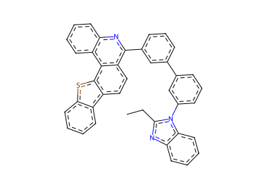 CCc1nc2ccccc2n1-c1cccc(-c2cccc(-c3nc4ccccc4c4c3ccc3c5ccccc5sc34)c2)c1